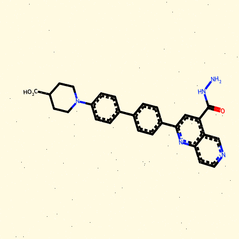 NNC(=O)c1cc(-c2ccc(-c3ccc(N4CCC(C(=O)O)CC4)cc3)cc2)nc2ccncc12